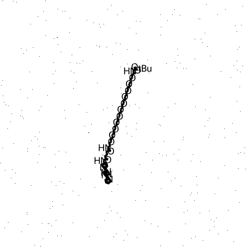 CC(C)(C)OC(=O)NCCOCCOCCOCCOCCOCCOCCOCCOCCOCCOCCOCCNC(=O)CCCC(=O)Nc1ccc(-c2nnc(-c3ccccn3)nn2)nc1